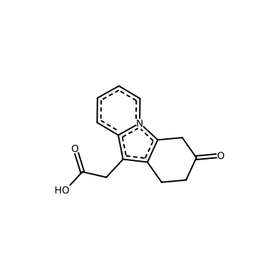 O=C(O)Cc1c2c(n3ccccc13)CC(=O)CC2